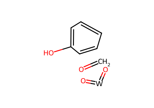 C=O.Oc1ccccc1.[O]=[W]=[O]